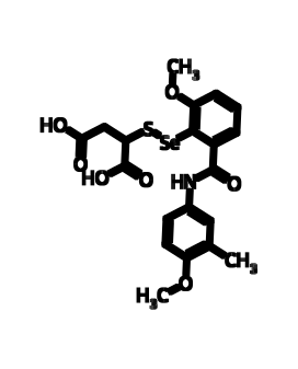 COc1ccc(NC(=O)c2cccc(OC)c2[Se]SC(CC(=O)O)C(=O)O)cc1C